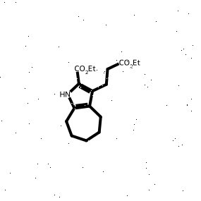 CCOC(=O)CCc1c(C(=O)OCC)[nH]c2c1CCCCC2